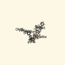 CC[C@H](C)[C@@H]([C@@H](CC(=O)N1CCC[C@H]1[C@H](OC)[C@@H](C)C(=O)N[C@H](C)[C@@H](O)c1ccccc1)OC)N(C)C(=O)CNC(=O)C(C(C)C)N(C)C(=O)OCc1ccc(NC(=O)CNC=O)cc1